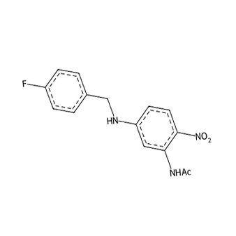 CC(=O)Nc1cc(NCc2ccc(F)cc2)ccc1[N+](=O)[O-]